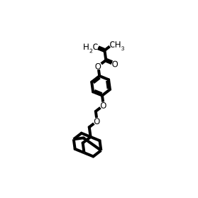 C=C(C)C(=O)Oc1ccc(OCOCC23CC4CC(CC(C4)C2)C3)cc1